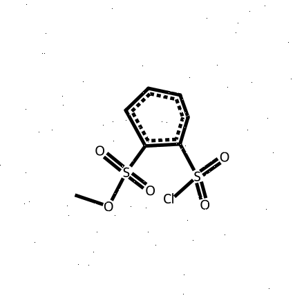 COS(=O)(=O)c1ccccc1S(=O)(=O)Cl